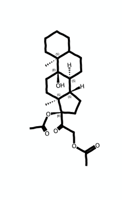 CC(=O)OCC(=O)[C@@]1(OC(C)=O)CC[C@H]2[C@@H]3CCC4CCCC[C@]4(C)[C@@]3(O)CC[C@@]21C